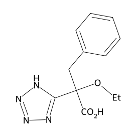 CCOC(Cc1ccccc1)(C(=O)O)c1nnn[nH]1